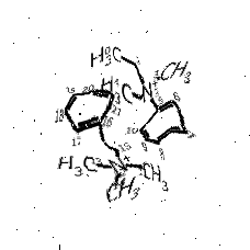 CC[N+](C)(C)c1ccccc1.C[N+](C)(C)Cc1ccccc1